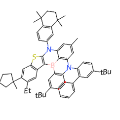 CCc1cc2c3c(sc2cc1C1(C)CCCC1)N(c1ccc2c(c1)C(C)(C)CCC2(C)C)c1cc(C)cc2c1B3c1cc(C(C)(C)C)ccc1N2c1ccc(C(C)(C)C)cc1-c1ccccc1